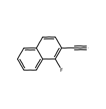 [C]#Cc1ccc2ccccc2c1F